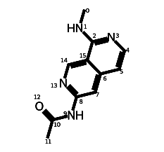 CNc1nccc2cc(NC(C)=O)ncc12